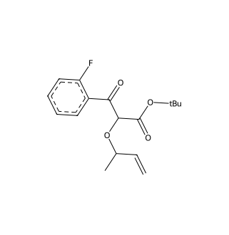 C=CC(C)OC(C(=O)OC(C)(C)C)C(=O)c1ccccc1F